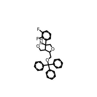 Fc1cccc(C23COC(COC(c4ccccc4)(c4ccccc4)c4ccccc4)C2CON3)c1F